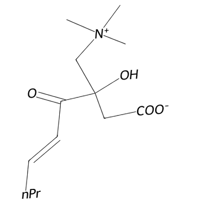 CCCC=CC(=O)C(O)(CC(=O)[O-])C[N+](C)(C)C